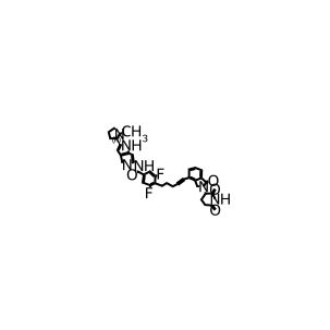 CN1CCC[C@@H]1c1cc2cnc(NC(=O)c3cc(F)c(CCCC#Cc4cccc5c4CN(C4CCC(=O)NC4=O)C5=O)c(F)c3)cc2[nH]1